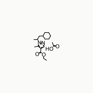 CC(=O)O.CCOC(=O)c1cnn(C(C)CC2CCCCC2)c1C